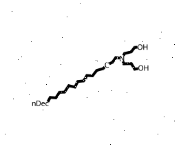 CCCCCCCCCCCCCCCCCCCCCCCCCN(CCCO)CCCO